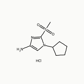 CS(=O)(=O)c1nc(N)cn1C1CCCC1.Cl